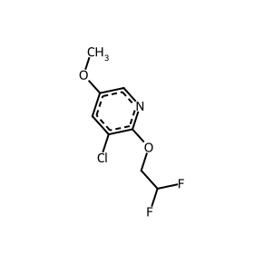 COc1cnc(OCC(F)F)c(Cl)c1